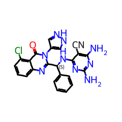 N#Cc1c(N)nc(N)nc1N[C@@H](c1ccccc1)c1nc2cccc(Cl)c2c(=O)n1-c1cn[nH]c1